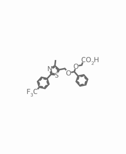 Cc1nc(-c2ccc(C(F)(F)F)cc2)sc1COC(OCC(=O)O)c1ccccc1